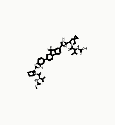 COC(=O)N[C@H](C(=O)N1C2CCC(C2)[C@H]1c1nc2ccc(-c3ccc4c(c3)C(F)(F)c3cc(-c5c[nH]c(C6CC7(CC7)CN6C(=O)C(NC(=O)O)C(C)C)n5)ccc3-4)cc2[nH]1)C(C)C